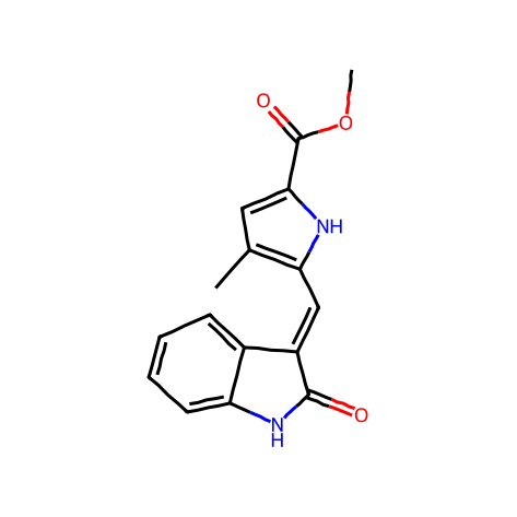 COC(=O)c1cc(C)c(C=C2C(=O)Nc3ccccc32)[nH]1